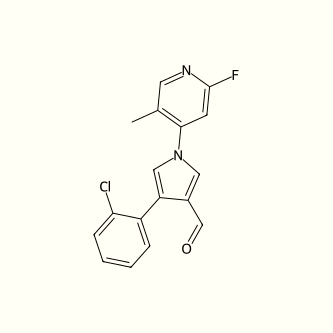 Cc1cnc(F)cc1-n1cc(C=O)c(-c2ccccc2Cl)c1